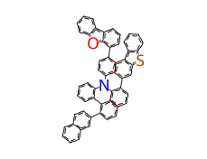 c1ccc(-c2ccccc2N(c2ccc(-c3cccc4c3oc3ccccc34)cc2)c2ccccc2-c2ccc3c(c2)sc2ccccc23)c(-c2ccc3ccccc3c2)c1